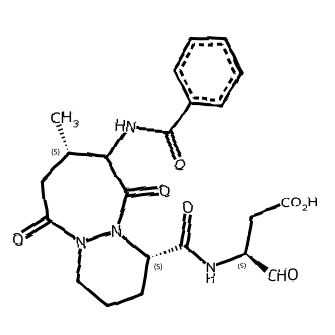 C[C@H]1CC(=O)N2CCC[C@@H](C(=O)N[C@H](C=O)CC(=O)O)N2C(=O)C1NC(=O)c1ccccc1